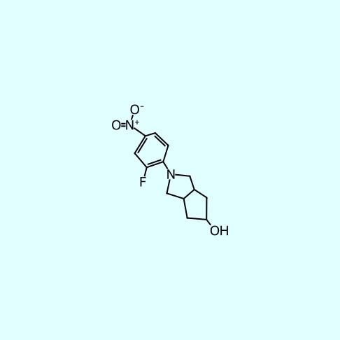 O=[N+]([O-])c1ccc(N2CC3CC(O)CC3C2)c(F)c1